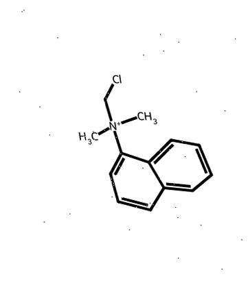 C[N+](C)(CCl)c1cccc2ccccc12